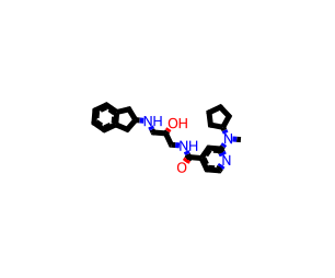 CN(c1cc(C(=O)NCC(O)CNC2Cc3ccccc3C2)ccn1)C1CCCC1